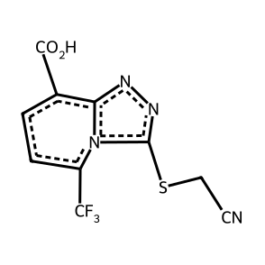 N#CCSc1nnc2c(C(=O)O)ccc(C(F)(F)F)n12